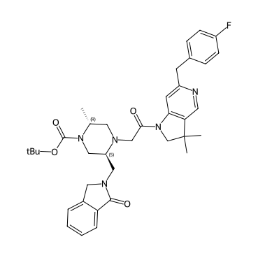 C[C@@H]1CN(CC(=O)N2CC(C)(C)c3cnc(Cc4ccc(F)cc4)cc32)[C@@H](CN2Cc3ccccc3C2=O)CN1C(=O)OC(C)(C)C